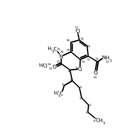 CCCCCC(CC)C1Oc2c(C(N)=O)cc(Cl)cc2N(C)C1=O.Cl